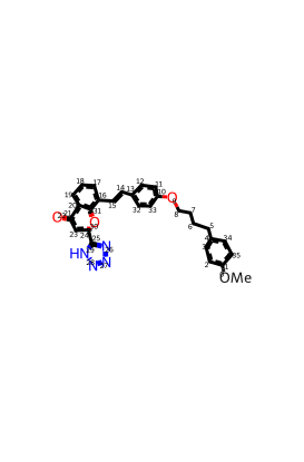 COc1ccc(CCCCOc2ccc(C=Cc3cccc4c(=O)cc(-c5nnn[nH]5)oc34)cc2)cc1